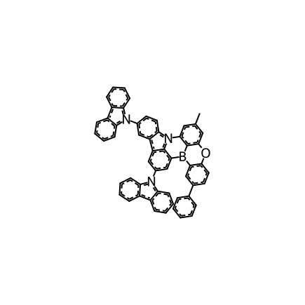 Cc1cc2c3c(c1)-n1c4ccc(-n5c6ccccc6c6ccccc65)cc4c4cc(-n5c6ccccc6c6ccccc65)cc(c41)B3c1cc(-c3ccccc3)ccc1O2